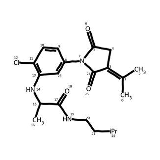 CC(C)=C1CC(=O)N(c2ccc(Cl)c(NC(C)C(=O)NCCC(C)C)c2)C1=O